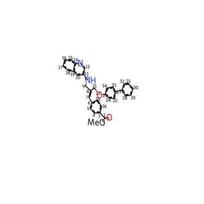 COC(=O)c1ccc(C=C(CNc2cnc3ccccc3c2)COc2ccc(-c3ccccc3)cc2)cc1